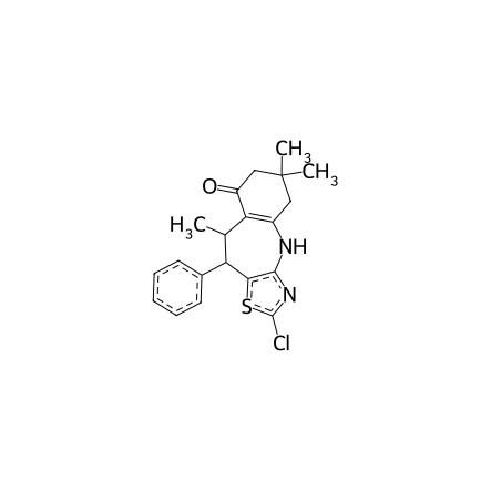 CC1C2=C(CC(C)(C)CC2=O)Nc2nc(Cl)sc2C1c1ccccc1